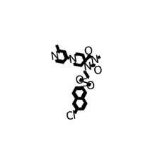 Cc1cc(N2CCC3(CC2)C(=O)N(C)C(=O)N3CCS(=O)(=O)c2ccc3cc(Cl)ccc3c2)ccn1